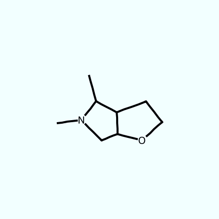 CC1C2CCOC2CN1C